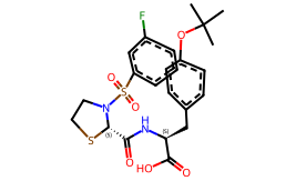 CC(C)(C)Oc1ccc(C[C@H](NC(=O)[C@@H]2SCCN2S(=O)(=O)c2cccc(F)c2)C(=O)O)cc1